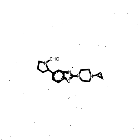 O=CN1CCCC1c1ccc2oc(N3CCN(C4CC4)CC3)nc2c1